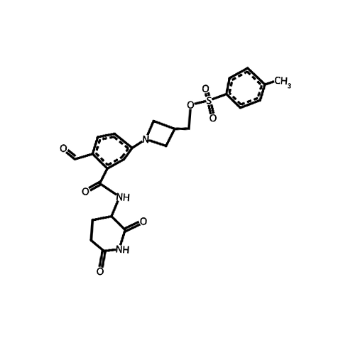 Cc1ccc(S(=O)(=O)OCC2CN(c3ccc(C=O)c(C(=O)NC4CCC(=O)NC4=O)c3)C2)cc1